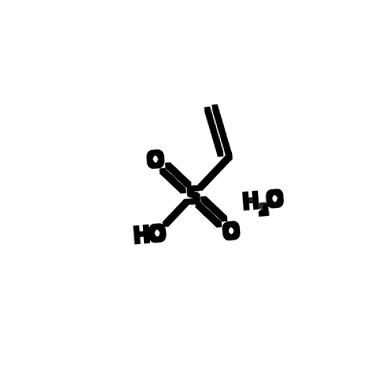 C=CS(=O)(=O)O.O